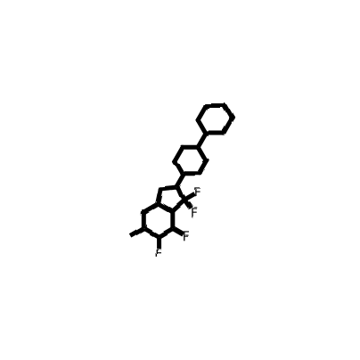 CC1CC2CC(C3CCC(C4CCCCC4)CC3)C(F)(F)C2C(F)C1F